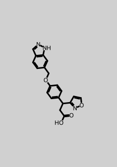 O=C(O)CC(c1ccc(OCc2ccc3cn[nH]c3c2)cc1)c1ccon1